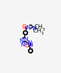 CN(C)[C@H]1CCN(C(=O)c2ccc(-c3cnc(N)c(-c4nnc(-c5ccccc5)o4)n3)cc2)C1